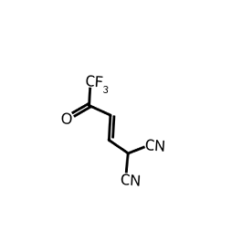 N#CC(C#N)C=CC(=O)C(F)(F)F